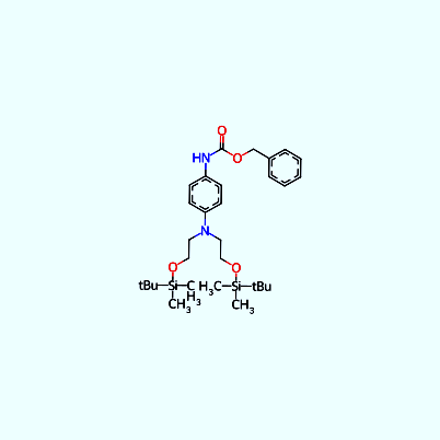 CC(C)(C)[Si](C)(C)OCCN(CCO[Si](C)(C)C(C)(C)C)c1ccc(NC(=O)OCc2ccccc2)cc1